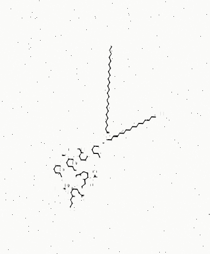 CCCCCCCCCCCCC/C=C/[C@@H](O)[C@H](CO[C@@H]1OC(CO)[C@@H](O[C@@H]2OC(CO)[C@H](O[C@@H]3OC(CO[C@]4(C(=O)O)CC(O)[C@@H](NC(C)=O)C([C@H](O)[C@@H](CO)O[C@]5(C(=O)O)CC(O)[C@@H](NC(C)=O)C([C@H](O)[C@H](O)CO)O5)O4)[C@H](O)[C@H](O[C@@H]4OC(CO)[C@H](O)[C@H](O)C4O)C3NC(C)=O)[C@H](O)C2O)[C@H](O)C1O)NC(=O)CCCCCCCCCCCCCCCCCCCCCCCCC